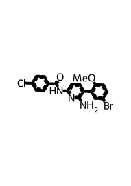 COc1ccc(Br)cc1-c1ccc(NC(=O)c2ccc(Cl)cc2)nc1N